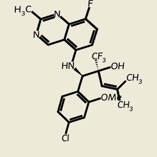 COc1cc(Cl)ccc1[C@@H](Nc1ccc(F)c2nc(C)ncc12)[C@@](O)(C=C(C)C)C(F)(F)F